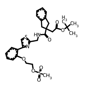 CC(C)(C)OC(=O)CC1(C(=O)NCc2nc(-c3ccccc3OCCOS(C)(=O)=O)cs2)Cc2ccccc2C1